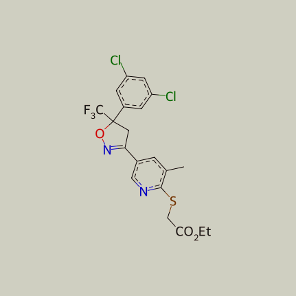 CCOC(=O)CSc1ncc(C2=NOC(c3cc(Cl)cc(Cl)c3)(C(F)(F)F)C2)cc1C